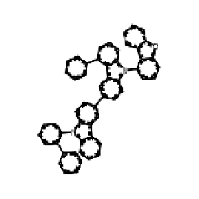 c1ccc(-c2ccccc2-n2c3ccccc3c3cc(-c4ccc5c(c4)c4c(-c6ccccc6)cccc4n5-c4cccc5oc6ccccc6c45)ccc32)cc1